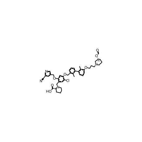 Cc1c(COc2cc(OCc3cncc(C#N)c3)c(CN3CCCC[C@H]3C(=O)O)cc2Cl)cccc1-c1cccc(OCCCN2CCC[C@@H](OC=O)C2)c1C